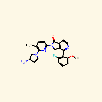 COc1cccc(F)c1-c1nccc2c1CN(c1ccc(C)c(N3CC[C@@H](N)C3)n1)C2=O